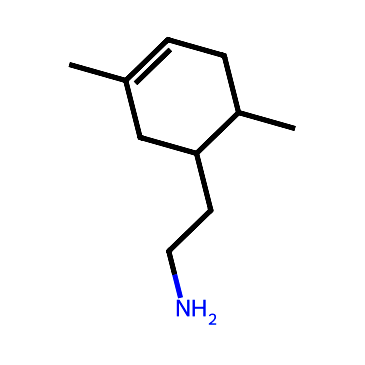 CC1=CCC(C)C(CCN)C1